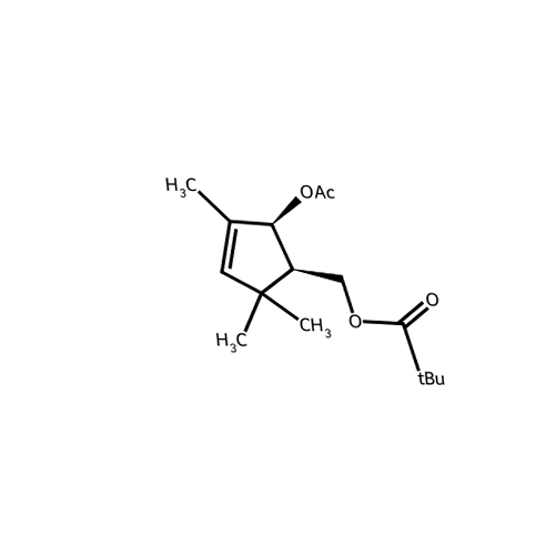 CC(=O)O[C@@H]1C(C)=CC(C)(C)[C@@H]1COC(=O)C(C)(C)C